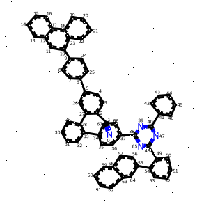 N#Cc1ccc(-c2ccc(-c3cc4ccccc4c4ccccc34)cc2)cc1-c1ccccc1-c1ccc(-c2nc(-c3ccccc3)nc(-c3ccccc3-c3ccc4ccccc4c3)n2)cc1